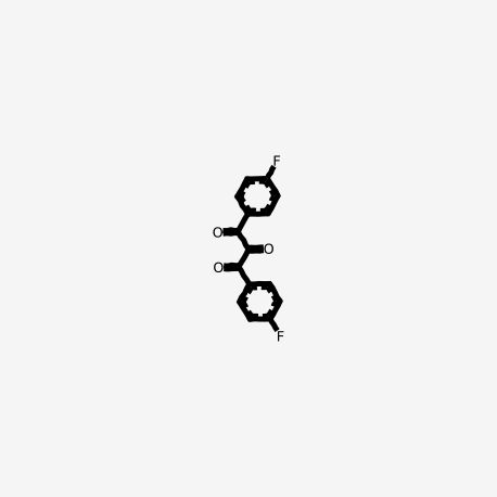 O=C(C(=O)c1ccc(F)cc1)C(=O)c1ccc(F)cc1